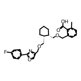 Cc1cccc(COC[C@H]2CCCC[C@H]2COCc2coc(-c3ccc(F)cc3)n2)c1C(=O)O